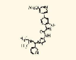 COc1cncc(-c2ccc3c(C(=O)Nc4cnn(C(CN(C)C)c5cccnc5)c4)n[nH]c3c2)c1